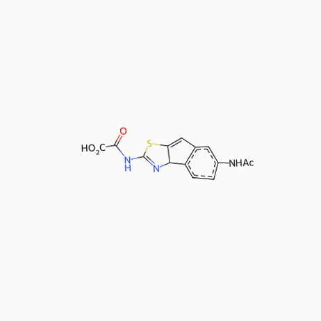 CC(=O)Nc1ccc2c(c1)C=C1SC(NC(=O)C(=O)O)=NC12